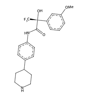 COc1cccc([C@@](O)(C(=O)Nc2ccc(C3CCNCC3)cc2)C(F)(F)F)c1